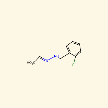 O=C(O)C=NNCc1ccccc1F